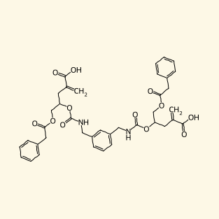 C=C(CC(COC(=O)Cc1ccccc1)OC(=O)NCc1cccc(CNC(=O)OC(COC(=O)Cc2ccccc2)CC(=C)C(=O)O)c1)C(=O)O